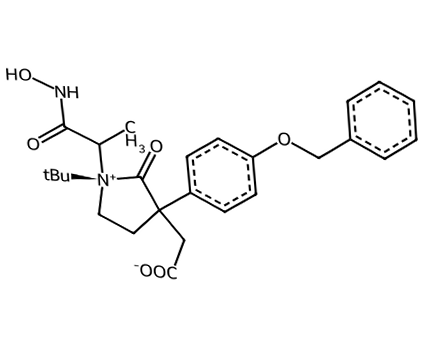 CC(C(=O)NO)[N@@+]1(C(C)(C)C)CCC(CC(=O)[O-])(c2ccc(OCc3ccccc3)cc2)C1=O